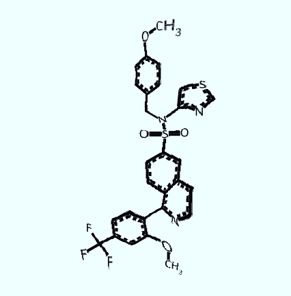 COc1ccc(CN(c2cscn2)S(=O)(=O)c2ccc3c(-c4ccc(C(F)(F)F)cc4OC)nccc3c2)cc1